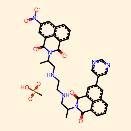 CC(CNCCNCC(C)N1C(=O)c2cccc3cc([N+](=O)[O-])cc(c23)C1=O)N1C(=O)c2cccc3cc(-c4cncnc4)cc(c23)C1=O.CS(=O)(=O)O